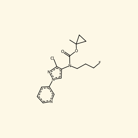 CC1(OC(=O)N(CCCF)c2cn(-c3cccnc3)nc2Cl)CC1